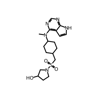 CN(c1ncnc2[nH]ccc12)C1CCC(CS(=O)(=O)N2CCC(O)C2)CC1